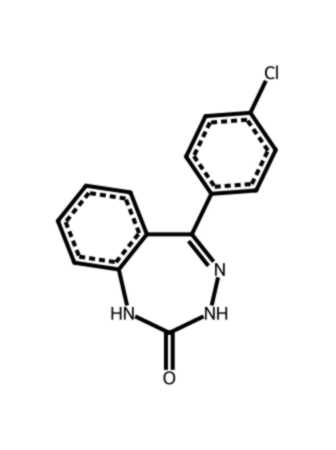 O=C1NN=C(c2ccc(Cl)cc2)c2ccccc2N1